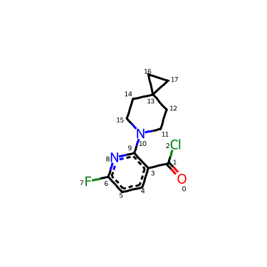 O=C(Cl)c1ccc(F)nc1N1CCC2(CC1)CC2